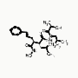 CC(C)C[C@@H](C(=O)NN(CC(C)C)C(=O)[C@@H](C)O)[C@H](CC=Cc1ccccc1)C(=O)NO